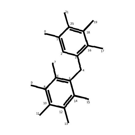 Cc1cc(Cc2c(C)c(C)c(C)c(C)c2C)c(C)c(C)c1C